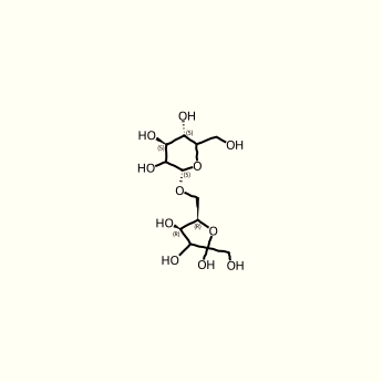 OCC1O[C@H](OC[C@H]2OC(O)(CO)C(O)[C@H]2O)C(O)[C@@H](O)[C@@H]1O